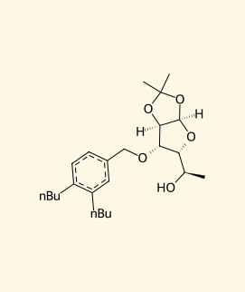 CCCCc1ccc(CO[C@@H]2[C@H]3OC(C)(C)O[C@H]3O[C@@H]2[C@@H](C)O)cc1CCCC